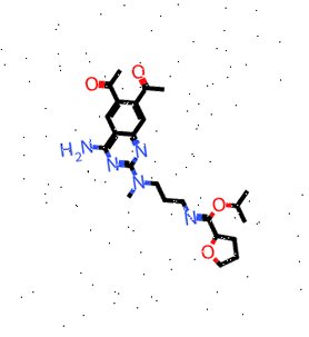 CC(=O)c1cc2nc(N(C)CCC/N=C(\OC(C)C)C3CCCO3)nc(N)c2cc1C(C)=O